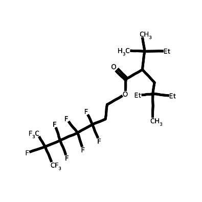 CCC(C)(CC)CC(C(=O)OCCC(F)(F)C(F)(F)C(F)(F)C(F)(C(F)(F)F)C(F)(F)F)C(C)(C)CC